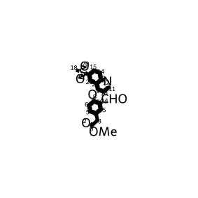 COC(=O)Cc1ccc(Oc2ccnc3ccc(S(C)(=O)=O)cc23)c(C=O)c1